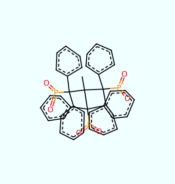 CC(C(c1ccccc1)(c1ccccc1)P(=O)=O)(C(c1ccccc1)(c1ccccc1)P(=O)=O)C(c1ccccc1)(c1ccccc1)P(=O)=O